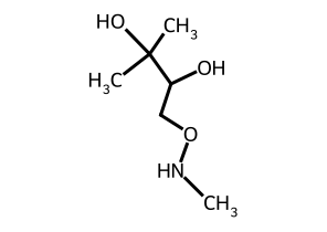 CNOCC(O)C(C)(C)O